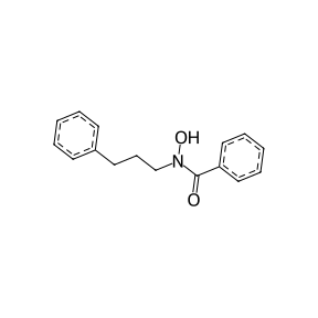 O=C(c1ccccc1)N(O)CCCc1ccccc1